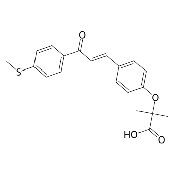 CSc1ccc(C(=O)C=Cc2ccc(OC(C)(C)C(=O)O)cc2)cc1